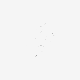 CCCCCCSc1ccc(-c2ccc(OCCCCC)cc2)cc1.CCCCCOc1ccc(-c2ccc(SCCCCC)cc2)cc1